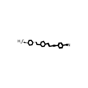 CC[C@H]1CC[C@H](CCC2CCC(/C=C/C#Cc3ccc(C#N)cc3)CC2)CC1